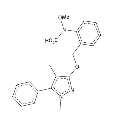 CON(C(=O)O)c1ccccc1COc1nn(C)c(-c2ccccc2)c1C